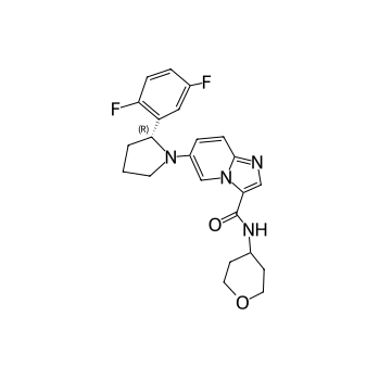 O=C(NC1CCOCC1)c1cnc2ccc(N3CCC[C@@H]3c3cc(F)ccc3F)cn12